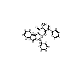 N#CC(C(=O)Nc1ccccc1)C(=O)c1nn(-c2ccccc2)c2c1=C1CC=CC=C1C=2